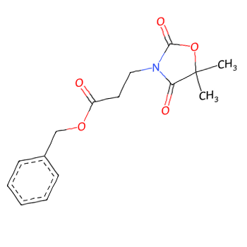 CC1(C)OC(=O)N(CCC(=O)OCc2ccccc2)C1=O